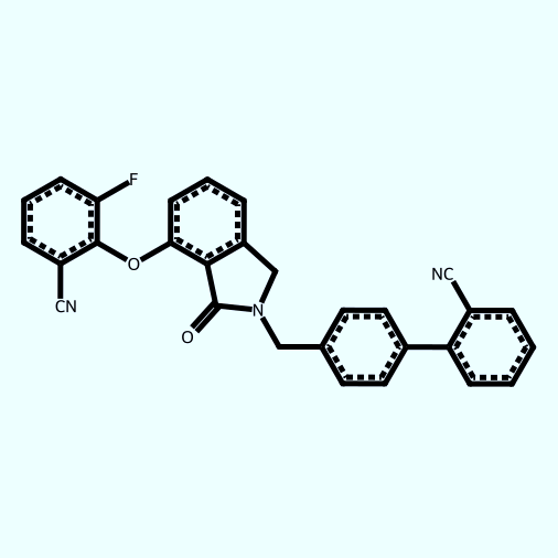 N#Cc1ccccc1-c1ccc(CN2Cc3cccc(Oc4c(F)cccc4C#N)c3C2=O)cc1